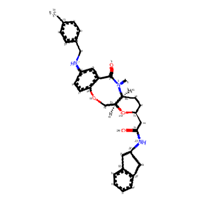 CN1C(=O)c2cc(NCc3ccc(C(F)(F)F)cc3)ccc2OC[C@@H]2O[C@H](CC(=O)NC3Cc4ccccc4C3)CC[C@@H]21